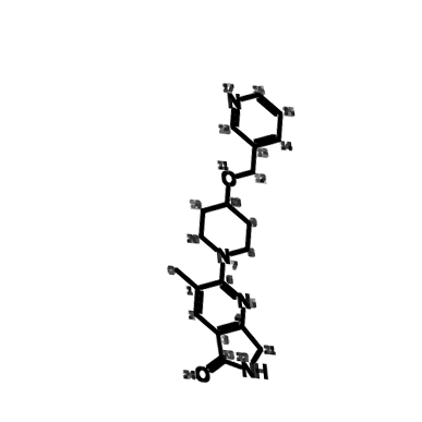 Cc1cc2c(nc1N1CCC(OCc3cccnc3)CC1)CNC2=O